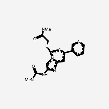 CNC(=O)COc1nc(-c2cccnc2)cc2nc(NC(=O)NC)cn12